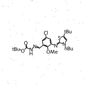 CCCCn1cc(C(C)(C)C)s/c1=N\c1cc(Cl)cc(C=NNC(=O)OC(C)(C)C)c1OC